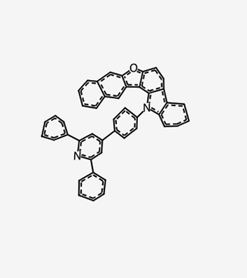 c1ccc(-c2cc(-c3ccc(-n4c5ccccc5c5ccc6oc7cc8ccccc8cc7c6c54)cc3)cc(-c3ccccc3)n2)cc1